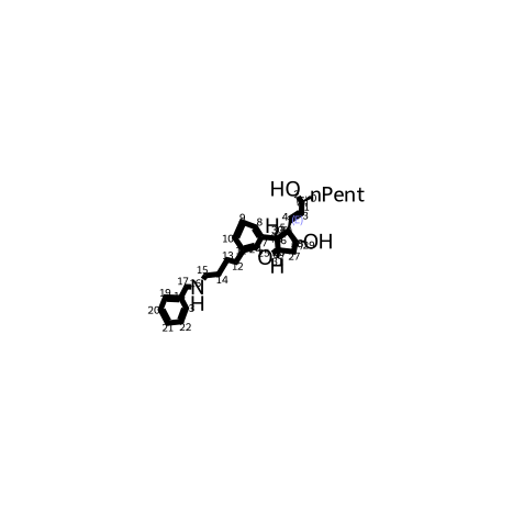 CCCCC[C@H](O)/C=C/[C@@H]1[C@H]2c3cccc(CCCCNCc4ccccc4)c3O[C@H]2C[C@H]1O